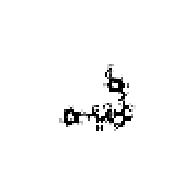 C=C1CSC2C(NC(=O)COc3ccccc3)C(=O)N2C1C(=O)OCc1ccc(OC)cc1